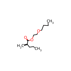 C=C(CCC)C(=O)OCCOCCCC